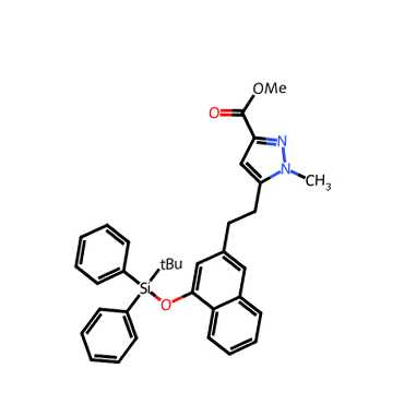 COC(=O)c1cc(CCc2cc(O[Si](c3ccccc3)(c3ccccc3)C(C)(C)C)c3ccccc3c2)n(C)n1